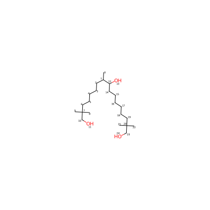 CC(CCCCCC(C)(C)CO)C(O)CCCCCCC(C)(C)CO